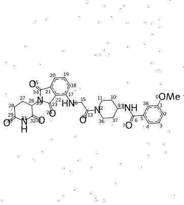 COc1cccc(C(=O)NC2CCN(C(=O)CNc3cccc4c3C(=O)N(C3CCC(=O)NC3=O)C4=O)CC2)c1